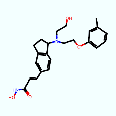 Cc1cccc(OCCN(CCO)C2CCc3cc(C=CC(=O)NO)ccc32)c1